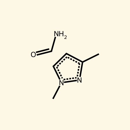 Cc1ccn(C)n1.NC=O